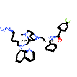 CN1CC2CC([C@@H]1CN(CCCCN)[C@H]1CCCc3cccnc31)N2CC[C@H](NC(=O)C1CCC(F)(F)CC1)c1ccccc1